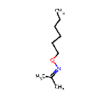 CCCCCCON=C(C)C